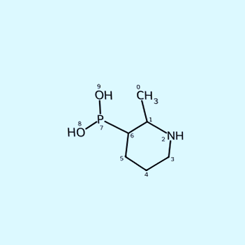 CC1NCCCC1P(O)O